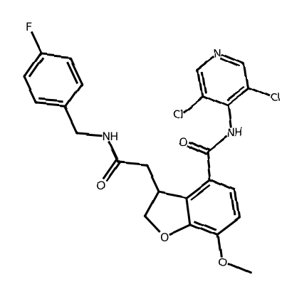 COc1ccc(C(=O)Nc2c(Cl)cncc2Cl)c2c1OCC2CC(=O)NCc1ccc(F)cc1